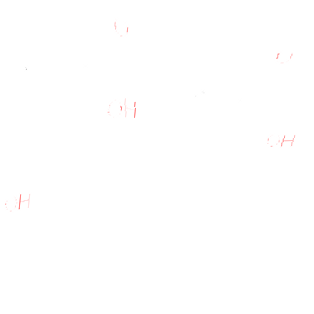 C=C(CCCC)C(=O)O.C=C(CCO)C(=O)O